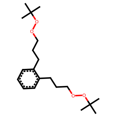 CC(C)(C)OOCCCc1ccccc1CCCOOC(C)(C)C